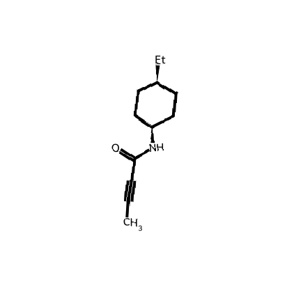 CC#CC(=O)N[C@H]1CC[C@@H](CC)CC1